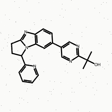 CC(C)(O)c1ncc(-c2ccc3nc4n(c3c2)C(c2ccccn2)CC4)cn1